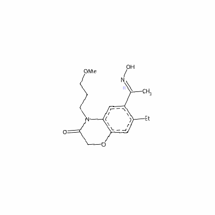 CCc1cc2c(cc1/C(C)=N/O)N(CCCOC)C(=O)CO2